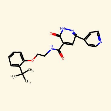 CC(C)(C)c1ccccc1OCCNC(=O)c1cc(-c2ccncc2)n[nH]c1=O